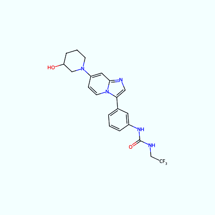 O=C(NCC(F)(F)F)Nc1cccc(-c2cnc3cc(N4CCCC(O)C4)ccn23)c1